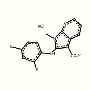 Cl.Cn1c(Nc2ccc(I)cc2F)c(C(=O)O)c2cccnc21